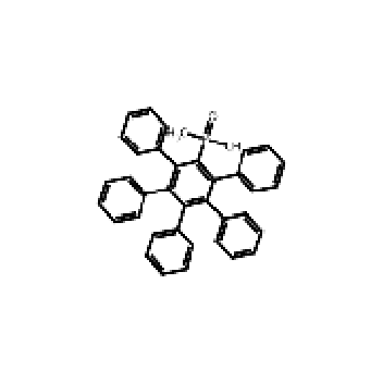 CP(C)(=O)c1c(-c2ccccc2)c(-c2ccccc2)c(-c2ccccc2)c(-c2ccccc2)c1-c1ccccc1